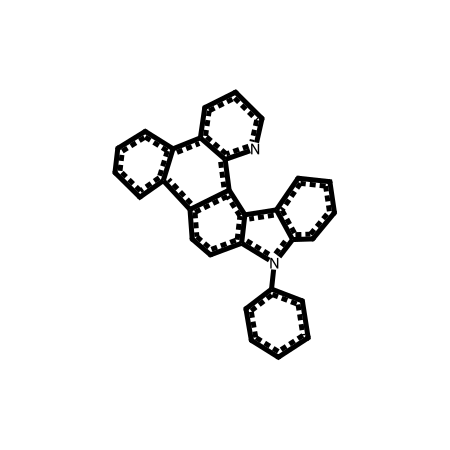 c1ccc(-n2c3ccccc3c3c4c(ccc32)c2ccccc2c2cccnc24)cc1